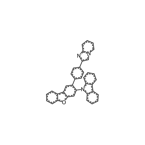 c1ccc2c(c1)oc1cc(-n3c4ccccc4c4ccccc43)c(-c3ccc(-c4cn5ccccc5n4)cc3)cc12